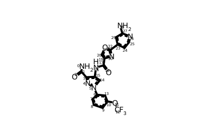 NC(=O)c1nn(-c2cccc(OC(F)(F)F)c2)cc1NC(=O)c1coc(-c2ccnc(N)c2)n1